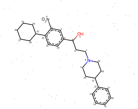 O=[N+]([O-])c1cc(C(O)CCN2CCC(c3ccccc3)CC2)ccc1C1CCCCC1